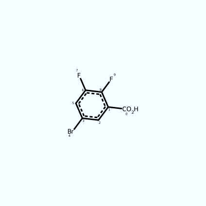 O=C(O)c1cc(Br)cc(F)c1F